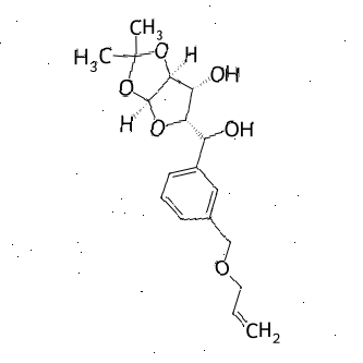 C=CCOCc1cccc(C(O)[C@@H]2O[C@H]3OC(C)(C)O[C@H]3[C@@H]2O)c1